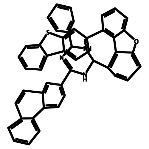 c1ccc(C2N=C(c3ccc4c(ccc5ccccc54)c3)NC(c3cccc4oc5cccc(-c6ccc7c(c6)sc6ccccc67)c5c34)N2)cc1